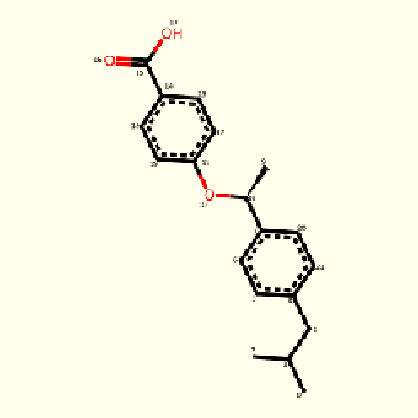 CC(C)Cc1ccc([C@H](C)Oc2ccc(C(=O)O)cc2)cc1